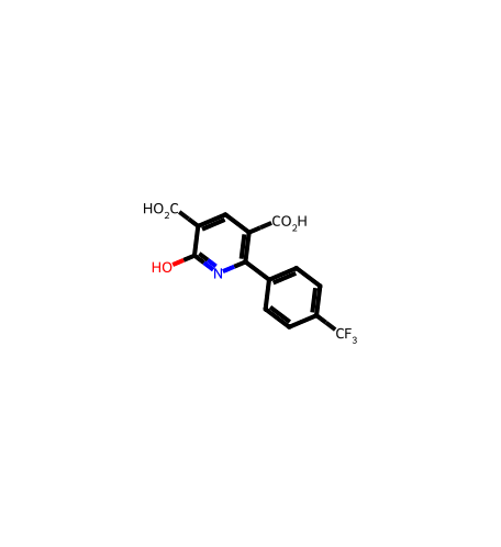 O=C(O)c1cc(C(=O)O)c(-c2ccc(C(F)(F)F)cc2)nc1O